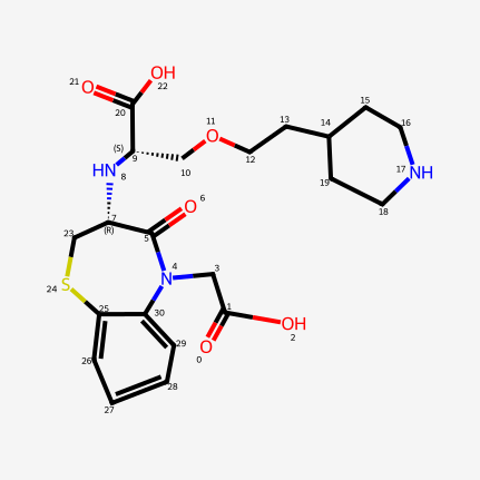 O=C(O)CN1C(=O)[C@@H](N[C@@H](COCCC2CCNCC2)C(=O)O)CSc2ccccc21